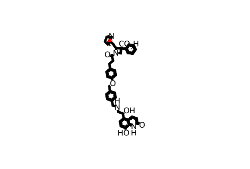 O=C(CCc1ccc(OCc2ccc(CNCC(O)c3ccc(O)c4[nH]c(=O)ccc34)cc2)cc1)N1CC(C(=O)O)(c2ccccc2)C1C1CN2CCC1CC2